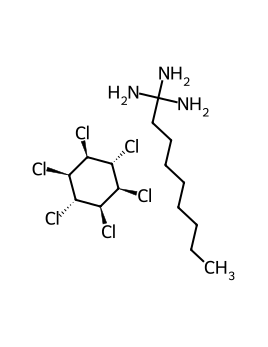 CCCCCCCCC(N)(N)N.Cl[C@H]1[C@H](Cl)[C@@H](Cl)[C@@H](Cl)[C@H](Cl)[C@H]1Cl